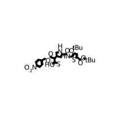 CC(C)(C)OC(=O)c1cc(OC(C)(C)C)c(NC(=O)C2CC(C(C(=O)OCc3ccc([N+](=O)[O-])cc3)C(O)=S)CN2)s1